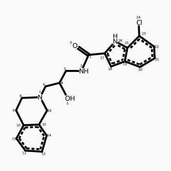 O=C(NCC(O)CN1CCc2ccccc2C1)c1cc2cccc(Cl)c2[nH]1